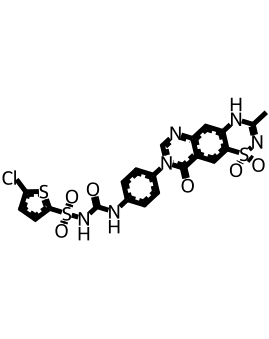 CC1=NS(=O)(=O)c2cc3c(=O)n(-c4ccc(NC(=O)NS(=O)(=O)c5ccc(Cl)s5)cc4)cnc3cc2N1